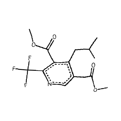 COC(=O)c1cnc(C(F)(F)F)c(C(=O)OC)c1CC(C)C